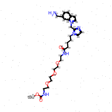 CC(C)(C)OC(=O)NCCOCCOCCOCCNC(=O)CCCCn1ccnc1Cn1ccc2ccc(CN)cc21